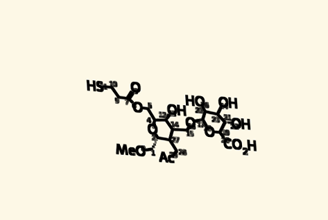 COC[C@@H]1OC(COC(=O)CCS)[C@@H](O)C(CO[C@@H]2OC(C(=O)O)[C@@H](O)C(O)C2O)C1CC(C)=O